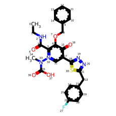 CCNC(=O)c1c(OCc2ccccc2)c(=O)c(-c2nnc(Cc3ccc(F)cc3)s2)cn1N(C)C(=O)O